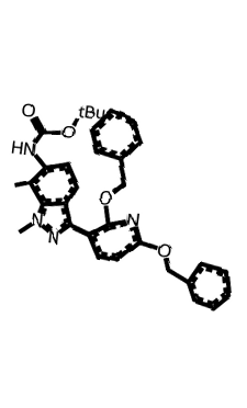 Cc1c(NC(=O)OC(C)(C)C)ccc2c(-c3ccc(OCc4ccccc4)nc3OCc3ccccc3)nn(C)c12